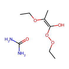 CCOOC(O)=C(C)OCC.NC(N)=O